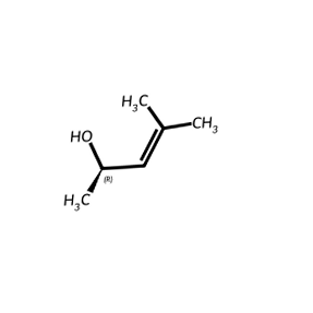 CC(C)=C[C@@H](C)O